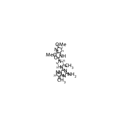 COc1ccc(NC(=O)N2CCN(c3nc(N)nc4c(C)cnn34)[C@@H](C)C2)c(OC)n1